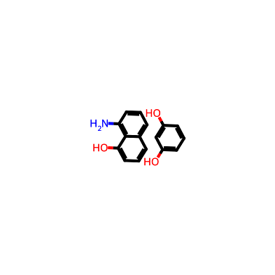 Nc1cccc2cccc(O)c12.Oc1cccc(O)c1